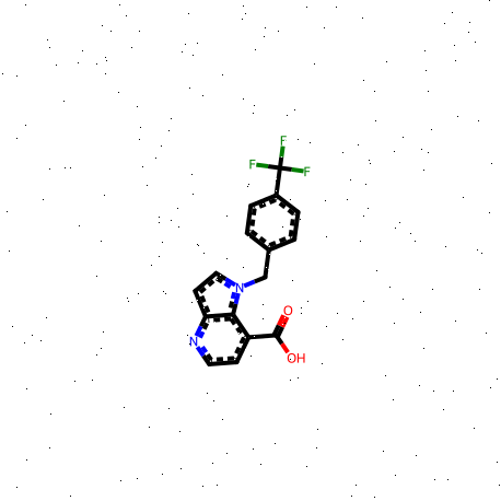 O=C(O)c1ccnc2ccn(Cc3ccc(C(F)(F)F)cc3)c12